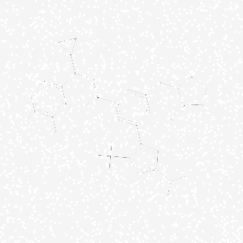 CC(C)n1cc(-c2cc(CN3CCN(C)C3=N)cc(C(=O)NC(c3ccc(F)c(F)c3)C3CC3)c2)c(C(F)(F)F)n1